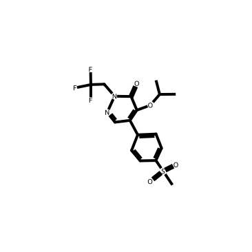 CC(C)Oc1c(-c2ccc(S(C)(=O)=O)cc2)cnn(CC(F)(F)F)c1=O